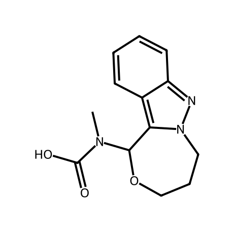 CN(C(=O)O)C1OCCCn2nc3ccccc3c21